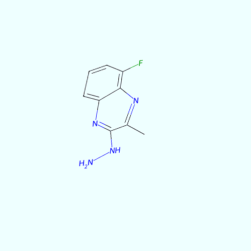 Cc1nc2c(F)cccc2nc1NN